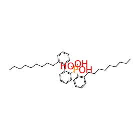 CCCCCCCCCc1ccccc1-c1ccccc1P(O)(O)(O)c1ccccc1CCCCCCCCC